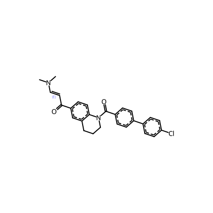 CN(C)/C=C/C(=O)c1ccc2c(c1)CCCN2C(=O)c1ccc(-c2ccc(Cl)cc2)cc1